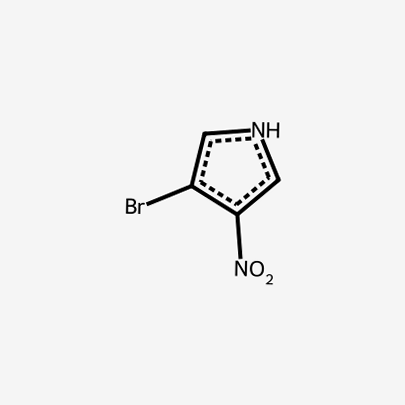 O=[N+]([O-])c1c[nH]cc1Br